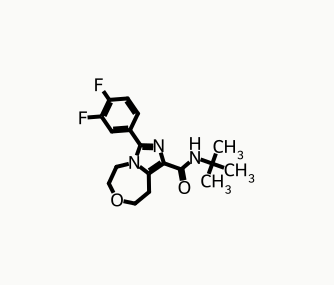 CC(C)(C)NC(=O)c1nc(-c2ccc(F)c(F)c2)n2c1CCOCC2